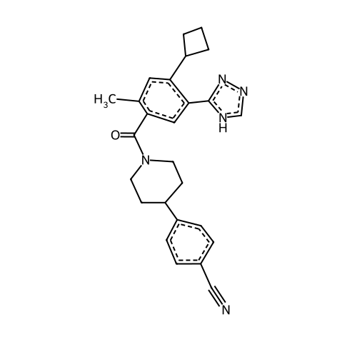 Cc1cc(C2CCC2)c(-c2nnc[nH]2)cc1C(=O)N1CCC(c2ccc(C#N)cc2)CC1